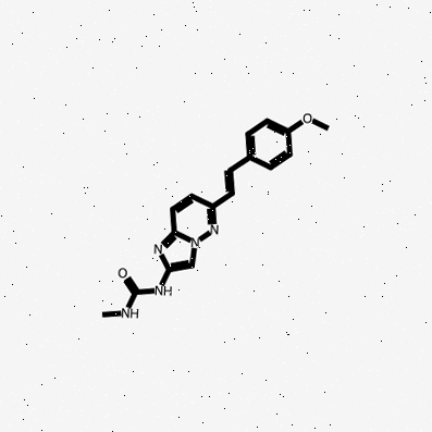 CNC(=O)Nc1cn2nc(/C=C/c3ccc(OC)cc3)ccc2n1